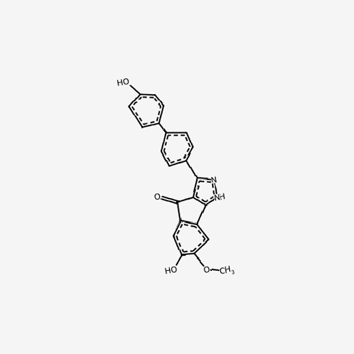 COc1cc2c(cc1O)C(=O)c1c(-c3ccc(-c4ccc(O)cc4)cc3)n[nH]c1-2